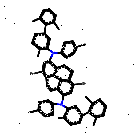 Cc1ccc(N(c2cc(-c3c(C)cccc3C)ccc2C)c2cc(C(C)C)c3ccc4c(N(c5ccc(C)cc5)c5cc(-c6c(C)cccc6C)ccc5C)cc(C(C)C)c5ccc2c3c54)cc1